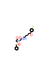 O=C(CN1C(=O)CC1[S+]([O-])Cc1ccccc1)NCCCCCC(=O)c1ccc(F)cc1